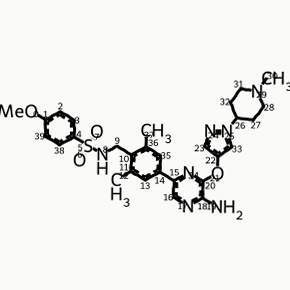 COc1ccc(S(=O)(=O)NCc2c(C)cc(-c3cnc(N)c(Oc4cnn(C5CCN(C)CC5)c4)n3)cc2C)cc1